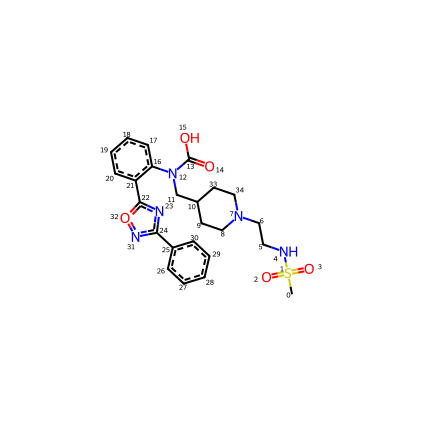 CS(=O)(=O)NCCN1CCC(CN(C(=O)O)c2ccccc2-c2nc(-c3ccccc3)no2)CC1